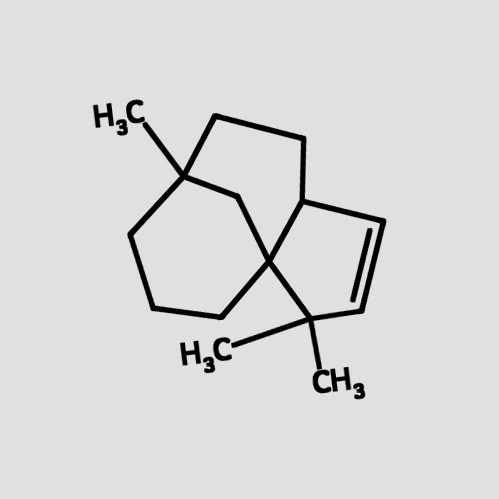 CC12CCCC3(C1)C(C=CC3(C)C)CC2